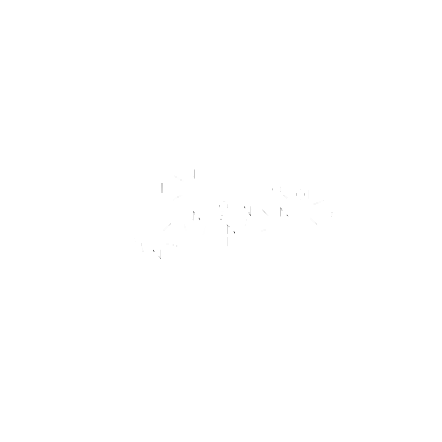 CC(C)(C)CC(=O)Nc1ccc2c(c1)cc(C(=O)Nc1ccc(N(Cc3ccccc3)C(=O)O)cn1)n2Cc1ccccc1F